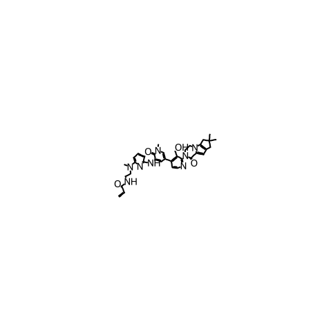 C=CC(=O)NCCN(C)c1cccc(Nc2cc(-c3ccnc(N4CCn5c(cc6c5CC(C)(C)C6)C4=O)c3CO)cn(C)c2=O)n1